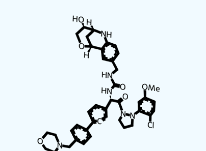 COc1ccc(Cl)c(N2CCCN2C(=O)[C@@H](NC(=O)NCc2ccc3c(c2)[C@H]2C[C@@H](N3)[C@H](O)CO2)c2ccc(-c3ccc(CN4CCOCC4)cc3)cc2)c1